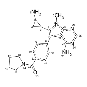 Cn1c(C2CC2N)c(-c2ccc(C(=O)N3CCCC3)cc2)c2c(N)ncnc21